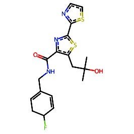 CC(C)(O)Cc1sc(-c2nccs2)nc1C(=O)NCC1=CCC(F)C=C1